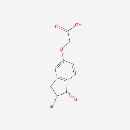 O=C(O)COc1ccc2c(c1)CC(Br)C2=O